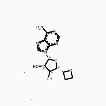 Nc1ncnc2c1ncn2[C@@H]1O[C@H](C2CCO2)[C@@H](O)[C@H]1O